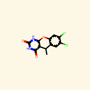 CC1c2cc(Cl)c(Cl)cc2Oc2[nH]c(=O)[nH]c(=O)c21